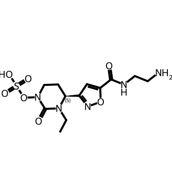 CCN1C(=O)N(OS(=O)(=O)O)CC[C@H]1c1cc(C(=O)NCCN)on1